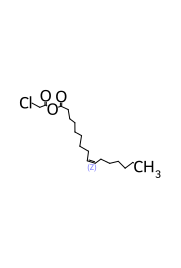 CCCCCC/C=C\CCCCCCCC(=O)OC(=O)CCl